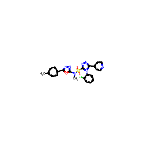 Cc1ccc(-c2nnc(N(C)S(=O)(=O)c3nnc(-c4ccncc4)n3-c3ccccc3Cl)o2)cc1